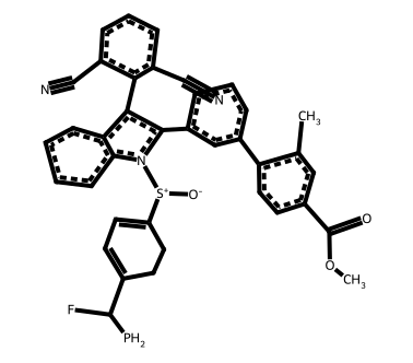 COC(=O)c1ccc(-c2cccc(-c3c(-c4c(C#N)cccc4C#N)c4ccccc4n3[S+]([O-])C3=CC=C(C(F)P)CC3)c2)c(C)c1